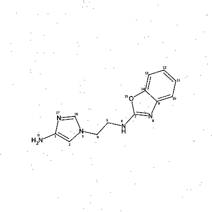 Nc1cn(CCNc2nc3ccccc3o2)cn1